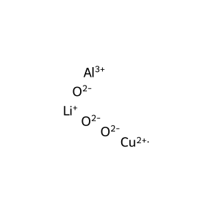 [Al+3].[Cu+2].[Li+].[O-2].[O-2].[O-2]